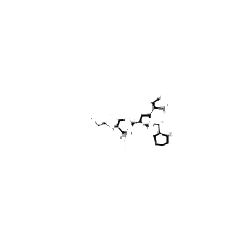 NCC(=O)Nc1cnc(-c2cc(-c3ccon3)n(Cc3ccccc3F)n2)nc1N